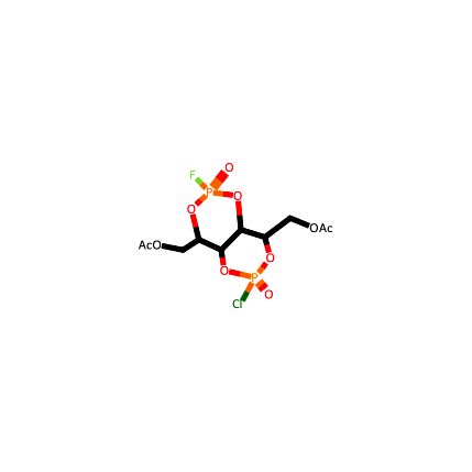 CC(=O)OCC1OP(=O)(Cl)OC2C(COC(C)=O)OP(=O)(F)OC12